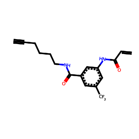 C#CCCCCNC(=O)c1cc(NC(=O)C=C)cc(C(F)(F)F)c1